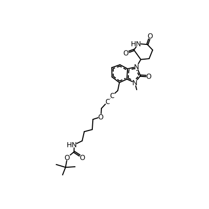 Cn1c(=O)n(C2CCC(=O)NC2=O)c2cccc(CCCCOCCCCNC(=O)OC(C)(C)C)c21